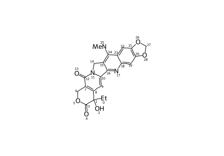 CCC1(O)C(=O)OCc2c1cc1n(c2=O)Cc2c-1nc1cc3c(cc1c2NC)OCO3